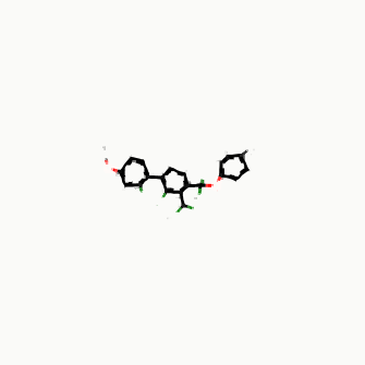 CCCc1ccc(OC(F)(F)c2ccc(-c3ccc(OCC)cc3F)c(F)c2C(F)F)cc1